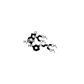 C=C(/N=C1\C(=C/N)CC(=O)N1C(CC)CC)Nc1cccc(OCCN(CC)CC)c1